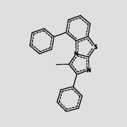 Cc1c(-c2ccccc2)nc2sc3cccc(-c4ccccc4)c3n12